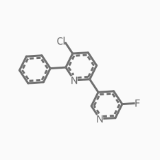 Fc1cncc(-c2ccc(Cl)c(-c3ccccc3)n2)c1